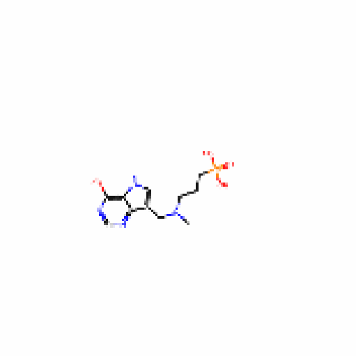 CN(CCCP(=O)(O)O)Cc1c[nH]c2c(O)ncnc12